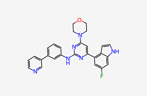 Fc1cc(-c2cc(N3CCOCC3)nc(Nc3cccc(-c4cccnc4)c3)n2)c2cc[nH]c2c1